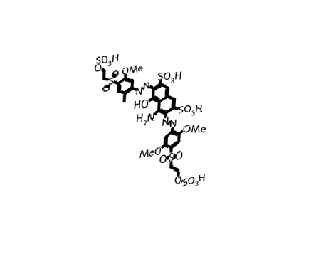 COc1cc(S(=O)(=O)CCOS(=O)(=O)O)c(OC)cc1/N=N/c1c(S(=O)(=O)O)cc2cc(S(=O)(=O)O)c(/N=N/c3cc(OC)c(S(=O)(=O)CCOS(=O)(=O)O)cc3C)c(O)c2c1N